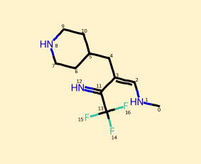 CN/C=C(/CC1CCNCC1)C(=N)C(F)(F)F